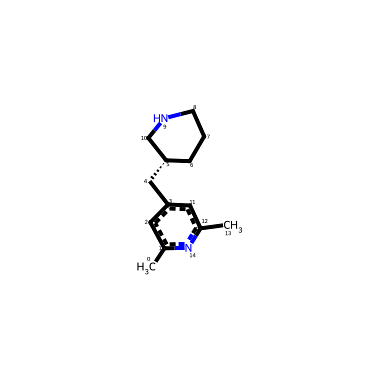 Cc1cc(C[C@H]2CCCNC2)cc(C)n1